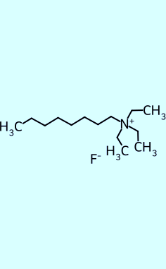 CCCCCCCC[N+](CC)(CC)CC.[F-]